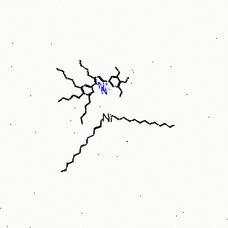 CCCCCCCCCCCC[CH2][Ni][CH2]CCCCCCCCCCCC.CCCCCc1cc(C2=C(CCCC)C=C(c3cc(CC)c(CC)c(CC)c3)[N+]2=[N-])cc(CCCCC)c1CCCCC